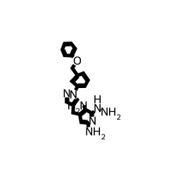 NNc1nc(N)cc(Cc2cnn(-c3cccc(COc4ccccc4)c3)c2)c1N